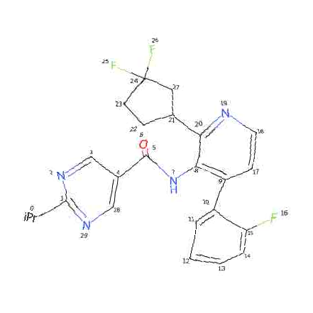 CC(C)c1ncc(C(=O)Nc2c(-c3ccccc3F)ccnc2C2CCC(F)(F)C2)cn1